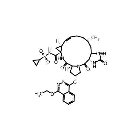 CCOc1nnc(O[C@@H]2C[C@H]3C(=O)N[C@]4(C(=O)NS(=O)(=O)C5CC5)C[C@H]4/C=C\CC[C@H](C)C[C@@H](C)[C@H](NC(=O)O)C(=O)N3C2)c2ccccc12